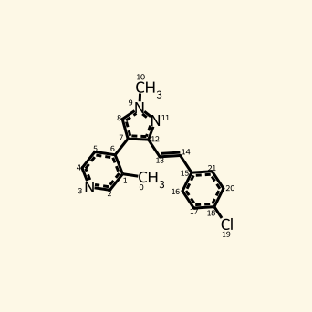 Cc1cnccc1-c1cn(C)nc1C=Cc1ccc(Cl)cc1